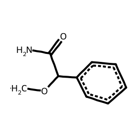 [CH2]OC(C(N)=O)c1ccccc1